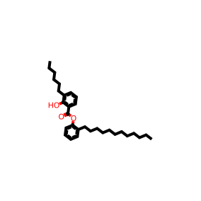 CCCCCCCCCCCCc1ccccc1OC(=O)c1cccc(CCCCCC)c1O